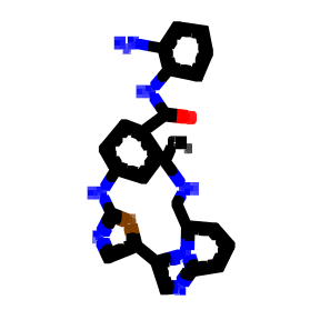 CCNCc1cccc2ncc(-c3cnc(Nc4ccc(C(=O)Nc5ccccc5N)cc4)s3)n12